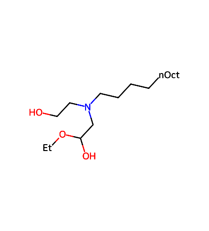 CCCCCCCCCCCCN(CCO)CC(O)OCC